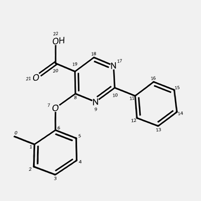 Cc1ccccc1Oc1nc(-c2ccccc2)ncc1C(=O)O